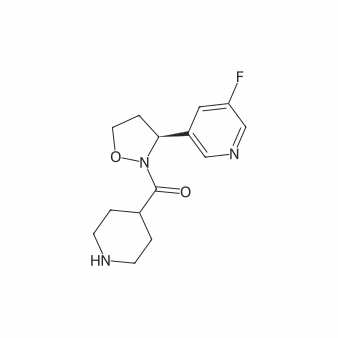 O=C(C1CCNCC1)N1OCC[C@H]1c1cncc(F)c1